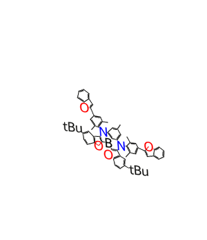 Cc1cc2c3c(c1)N(c1c(C)cc(-c4cc5ccccc5o4)cc1C)c1c(oc4ccc(C(C)(C)C)cc14)B3c1oc3ccc(C(C)(C)C)cc3c1N2c1c(C)cc(-c2cc3ccccc3o2)cc1C